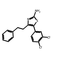 Nc1nc(CCc2ccccc2)c(-c2ccc(Cl)c(Cl)c2)s1